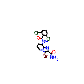 NC(=O)c1nc2c(NC(=O)c3c(Cl)cccc3Cl)cccn2c1Br